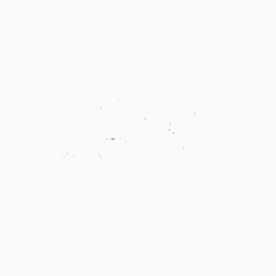 COC(=O)N=CC(CCN1CCOCC1)C(=O)O